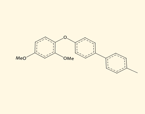 COc1ccc(Oc2ccc(-c3ccc(C)cc3)cc2)c(OC)c1